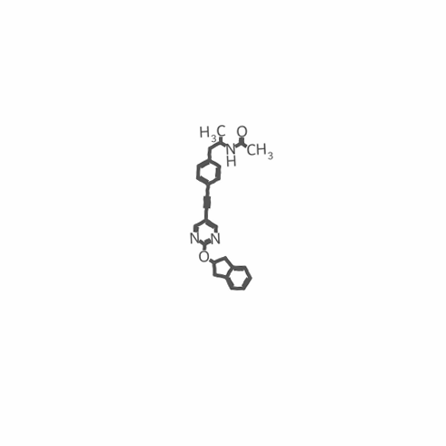 CC(=O)NC(C)Cc1ccc(C#Cc2cnc(OC3Cc4ccccc4C3)nc2)cc1